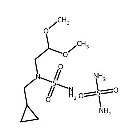 COC(CN(CC1CC1)S(N)(=O)=O)OC.NS(N)(=O)=O